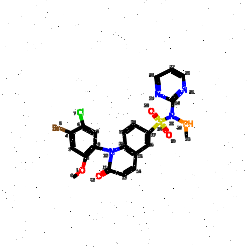 COc1cc(Br)c(Cl)cc1-n1c(=O)ccc2cc(S(=O)(=O)N(PC)c3ncccn3)ccc21